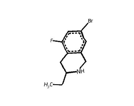 CCC1Cc2c(F)cc(Br)cc2CN1